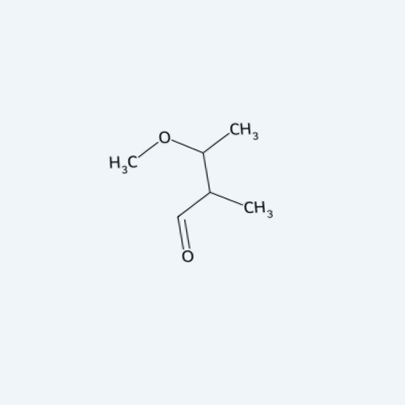 COC(C)C(C)C=O